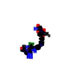 Cn1c(=O)n(C2CCC(=O)NC2=O)c2cccc(O[C@H]3C[C@H](N4CCN(C[C@H]5CC[C@H](N/C=C(\NC(=O)/C(C=N)=C6\N=C(N7C[C@H]8CC7CO8)C=CN6)C(=N)C(F)F)CC5)CC4)C3)c21